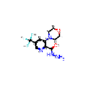 NNC(=O)c1ncc(C(F)(F)F)cc1N1CCOCC1